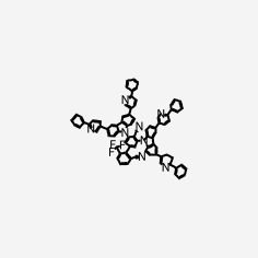 N#Cc1cccc(C(F)(F)F)c1-c1cc(-n2c3ccc(C4=CN=C(c5ccccc5)CC4)cc3c3cc(-c4ccc(-c5ccccc5)nc4)ccc32)c(C#N)c(-n2c3ccc(-c4ccc(-c5ccccc5)nc4)cc3c3cc(-c4ccc(-c5ccccc5)nc4)ccc32)c1